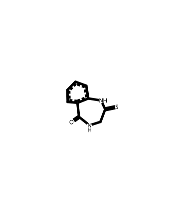 O=C1NCC(=S)Nc2ccccc21